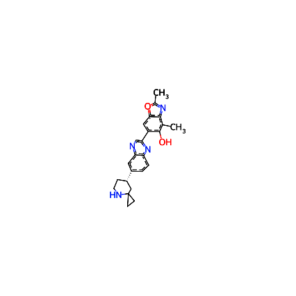 Cc1nc2c(C)c(O)c(-c3cnc4cc([C@H]5CCNC6(CC6)C5)ccc4n3)cc2o1